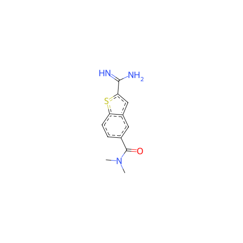 CN(C)C(=O)c1ccc2sc(C(=N)N)cc2c1